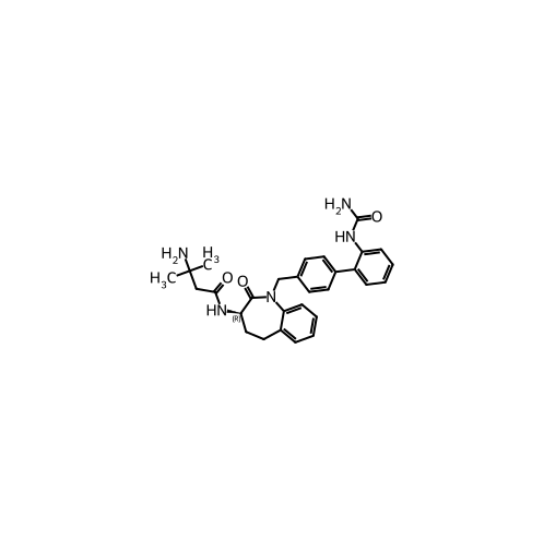 CC(C)(N)CC(=O)N[C@@H]1CCc2ccccc2N(Cc2ccc(-c3ccccc3NC(N)=O)cc2)C1=O